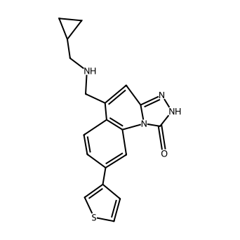 O=c1[nH]nc2cc(CNCC3CC3)c3ccc(-c4ccsc4)cc3n12